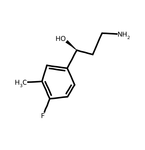 Cc1cc([C@@H](O)CCN)ccc1F